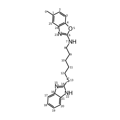 Cc1ccc2oc(NCCCCCSc3nc4ccccc4[nH]3)nc2c1